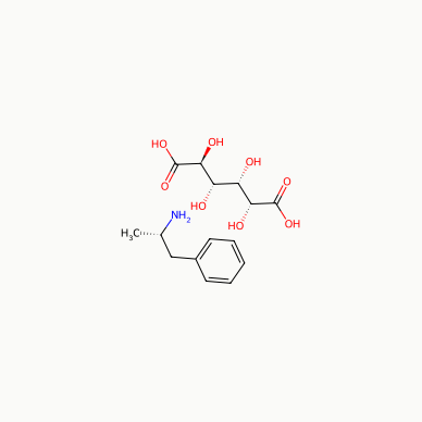 C[C@H](N)Cc1ccccc1.O=C(O)[C@@H](O)[C@@H](O)[C@H](O)[C@@H](O)C(=O)O